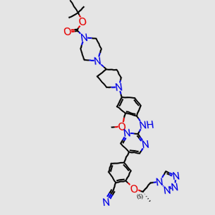 COc1cc(N2CCC(N3CCN(C(=O)OC(C)(C)C)CC3)CC2)ccc1Nc1ncc(-c2ccc(C#N)c(O[C@@H](C)Cn3cnnn3)c2)cn1